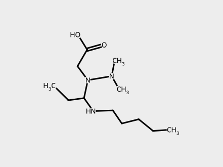 CCCCCNC(CC)N(CC(=O)O)N(C)C